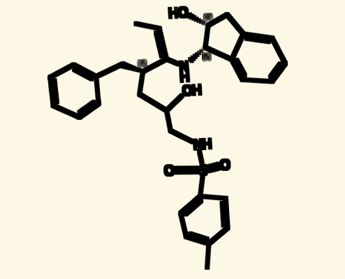 CC=C(N[C@H]1c2ccccc2C[C@H]1O)[C@H](Cc1ccccc1)CC(O)CNS(=O)(=O)c1ccc(C)cc1